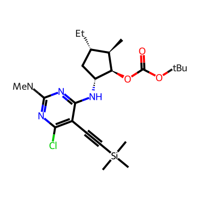 CC[C@H]1C[C@@H](Nc2nc(NC)nc(Cl)c2C#C[Si](C)(C)C)[C@H](OC(=O)OC(C)(C)C)[C@@H]1C